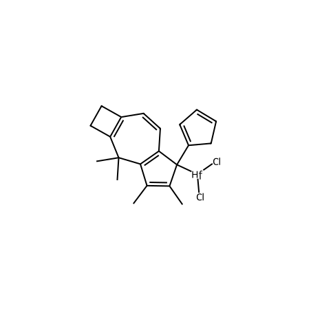 CC1=C(C)[C](C2=CC=CC2)([Hf]([Cl])[Cl])C2=C1C(C)(C)C1=C(C=C2)CC1